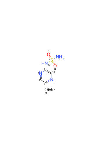 COc1cnc(NS(N)(=O)=O)cn1